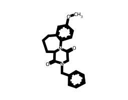 COc1ccc2c(c1)CCCC1C(=O)N(Cc3ccccc3)CC(=O)N21